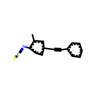 Cc1cc(C#Cc2ccccc2)ccc1N=C=S